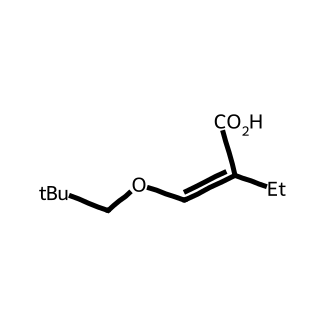 CCC(=COCC(C)(C)C)C(=O)O